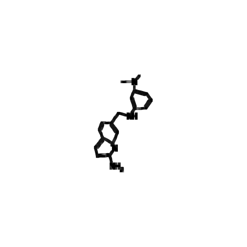 CN(C)c1cccc(NCc2ccc3ccc(N)nc3c2)c1